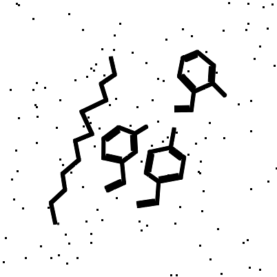 C=Cc1ccc(C)cc1.C=Cc1cccc(C)c1.C=Cc1ccccc1C.[CH2]CCCCCCCCCCC